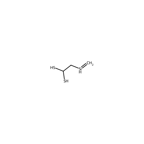 C=[SiH]CC(S)S